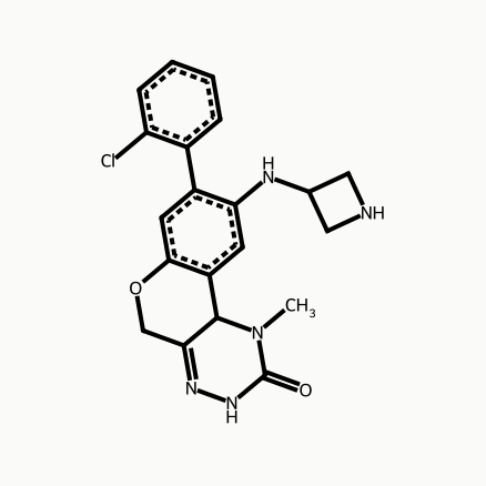 CN1C(=O)NN=C2COc3cc(-c4ccccc4Cl)c(NC4CNC4)cc3C21